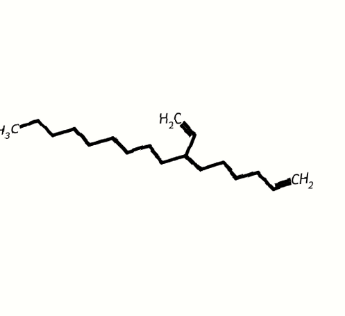 C=CCCCCC(C=C)CCCCCCCCC